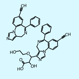 C#Cc1ccc2c(c1)C(c1ccccc1)=NCc1c(C(OCCO)C(O)C(=O)O)ncn1-2.C#Cc1ccc2c(c1)C(c1ccccc1)=NCc1cncn1-2